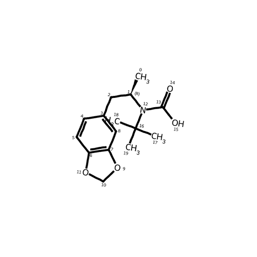 C[C@H](Cc1ccc2c(c1)OCO2)N(C(=O)O)C(C)(C)C